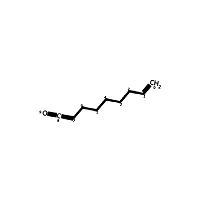 C=CCCCCCC=C=O